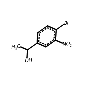 CC(O)c1ccc(Br)c([N+](=O)[O-])c1